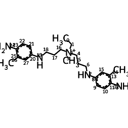 CC[N+](C)(CCCNc1ccc(N)c(C)c1)CCCNc1ccc(N)c(C)c1